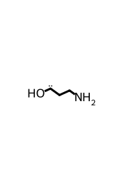 NCC[C]O